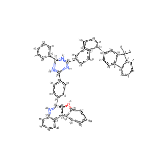 CC1(C)c2ccccc2-c2ccc(-c3cccc4cc(-c5nc(-c6ccccc6)nc(-c6ccc(-c7nc8ccccc8c8c7oc7ccccc78)cc6)n5)ccc34)cc21